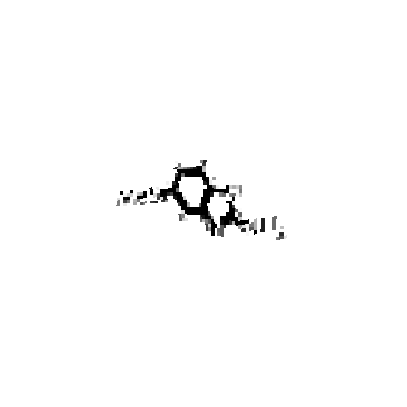 CSc1ccc2sc(N)nc2c1